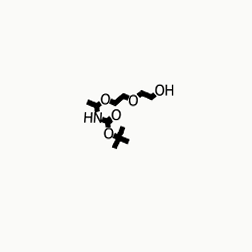 CC(NC(=O)OC(C)(C)C)OCCOCCO